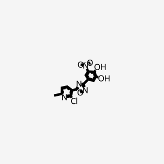 Cc1ccc(-c2nc(-c3cc(O)c(O)c([N+](=O)[O-])c3)no2)c(Cl)n1